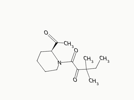 CCC(C)(C)C(=O)C(=O)N1CCCC[C@H]1C(C)=O